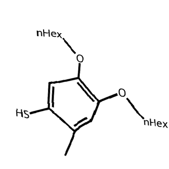 CCCCCCOc1cc(C)c(S)cc1OCCCCCC